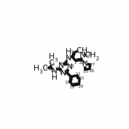 C=N/C(=C\C(=C/C)Nc1nc(NC(C)C)nc(-c2ccccc2)n1)N1CCC1